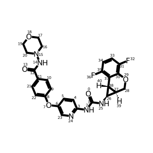 O=C(Nc1ccc(Oc2ccc(C(=O)NN3CCOCC3)cc2)cn1)N[C@@H]1[C@@H]2COc3c(F)ccc(F)c3[C@H]21